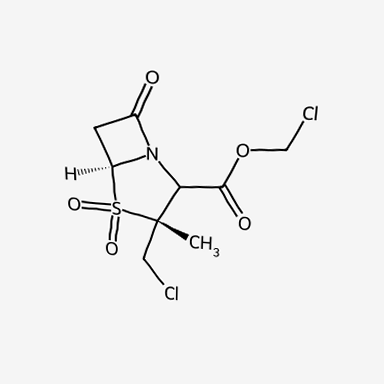 C[C@]1(CCl)C(C(=O)OCCl)N2C(=O)C[C@@H]2S1(=O)=O